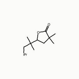 CC(C)CC(C)(C)C1CC(C)(C)C(=O)O1